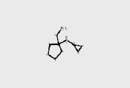 NCC1(NC2CC2)CCCC1